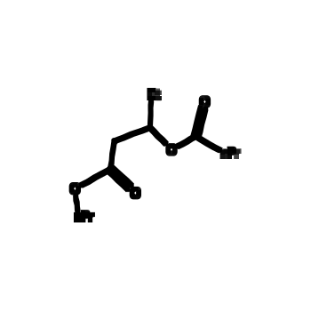 CCCOC(=O)CC(CC)OC(=O)CCC